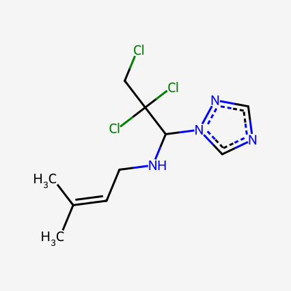 CC(C)=CCNC(n1cncn1)C(Cl)(Cl)CCl